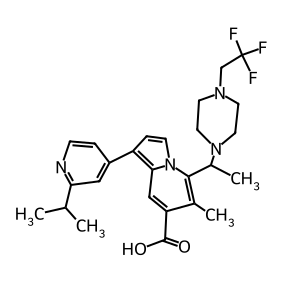 Cc1c(C(=O)O)cc2c(-c3ccnc(C(C)C)c3)ccn2c1C(C)N1CCN(CC(F)(F)F)CC1